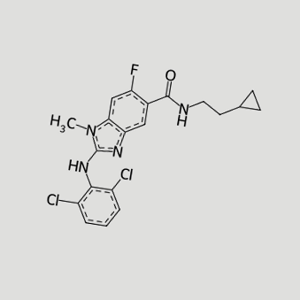 Cn1c(Nc2c(Cl)cccc2Cl)nc2cc(C(=O)NCCC3CC3)c(F)cc21